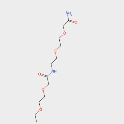 CCOCCOCC(=O)NCCOCCOCC(N)=O